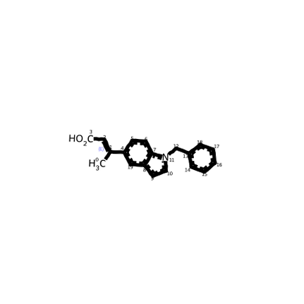 C/C(=C\C(=O)O)c1ccc2c(ccn2Cc2ccccc2)c1